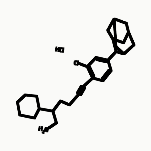 Cl.NCC(CCC#Cc1ccc(C2C3CC4CC(C3)CC2C4)cc1Cl)C1CCCCC1